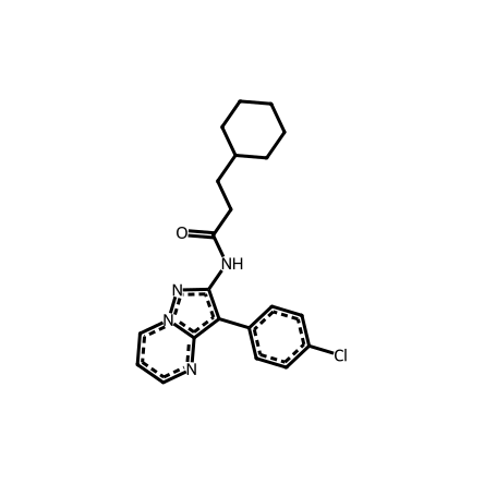 O=C(CCC1CCCCC1)Nc1nn2cccnc2c1-c1ccc(Cl)cc1